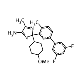 COC1CCC(C2(c3cc(-c4cc(F)cc(F)c4)ccc3C)N=C(C)C(N)=N2)CC1